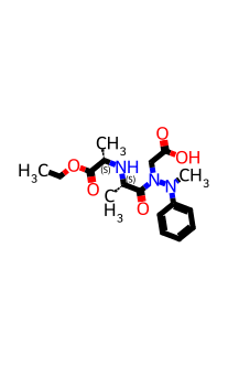 CCOC(=O)[C@H](C)N[C@@H](C)C(=O)N(CC(=O)O)N(C)c1ccccc1